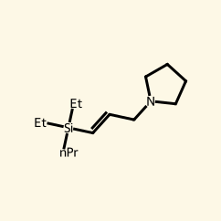 CCC[Si](C=CCN1CCCC1)(CC)CC